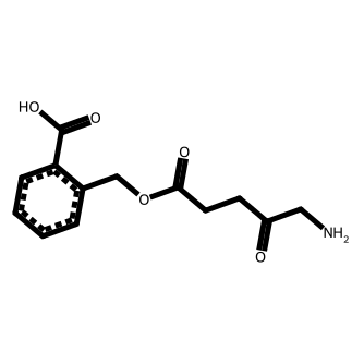 NCC(=O)CCC(=O)OCc1ccccc1C(=O)O